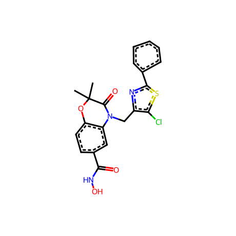 CC1(C)Oc2ccc(C(=O)NO)cc2N(Cc2nc(-c3ccccc3)sc2Cl)C1=O